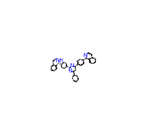 C1=Cc2ccccc2C(c2ccc(-c3nc(-c4ccccc4)cc(-c4ccc(-c5nccc6ccccc56)cc4)n3)cc2)N1